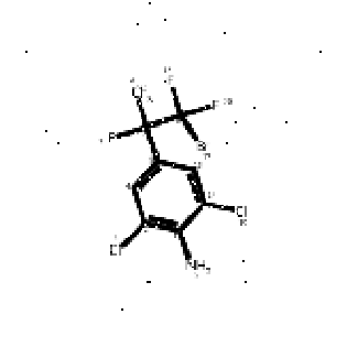 Nc1c(Cl)cc(C(F)(C(F)(F)F)C(F)(F)Br)cc1Cl